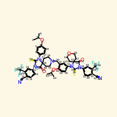 CC(C)Oc1ccc(N2C(=S)N(c3ccc(C#N)c(C(F)(F)F)c3)C(=O)C23CCN(Cc2cc(N4C(=S)N(c5ccc(C#N)c(C(F)(F)F)c5)C(=O)C45CCOCC5)ccc2OC(C)C)CC3)cc1